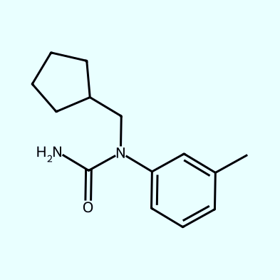 Cc1cccc(N(CC2CCCC2)C(N)=O)c1